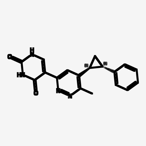 Cc1nnc(-c2c[nH]c(=O)[nH]c2=O)cc1[C@H]1C[C@@H]1c1ccccc1